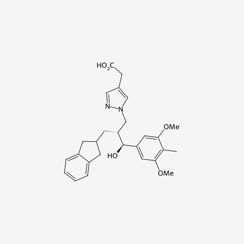 COc1cc([C@@H](O)[C@H](CC2Cc3ccccc3C2)Cn2cc(CC(=O)O)cn2)cc(OC)c1C